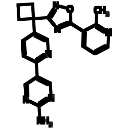 Cc1ncccc1-c1nc(C2(c3ccc(-c4cnc(N)nc4)nc3)CCC2)no1